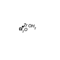 O.O.[O]=[Zr]